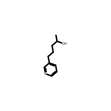 CC(O)CCCc1cccnc1